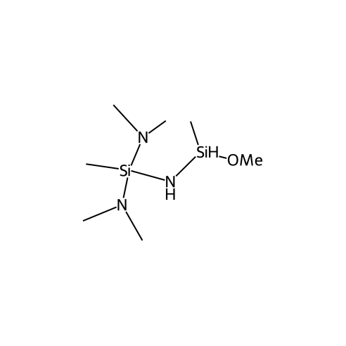 CO[SiH](C)N[Si](C)(N(C)C)N(C)C